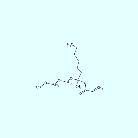 C=CC(=O)O[Si](C)(CCCCCC)O[SiH2]O[SiH2]O[SiH3]